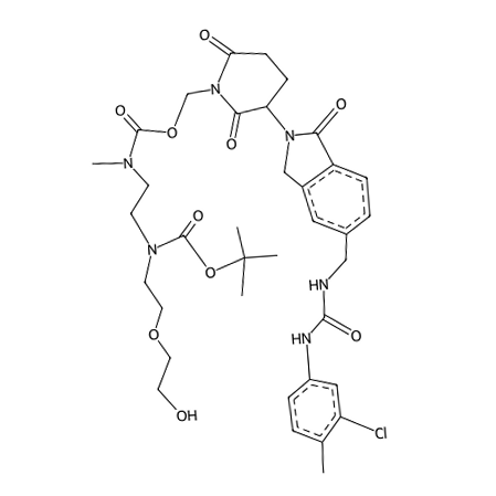 Cc1ccc(NC(=O)NCc2ccc3c(c2)CN(C2CCC(=O)N(COC(=O)N(C)CCN(CCOCCO)C(=O)OC(C)(C)C)C2=O)C3=O)cc1Cl